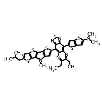 CCc1nc2c(-c3cc4sc(N(C)C)cc4s3)c3nsnc3c(-c3cc4c(s3)c3sc5cc(CC(C)C)sc5c3n4C)c2nc1CC